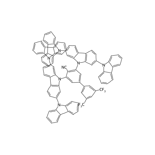 N#Cc1c(-n2c3cc(-n4c5ccccc5c5ccccc54)ccc3c3ccc(-n4c5ccccc5c5ccccc54)cc32)cc(-c2cc(C(F)(F)F)cc(C(F)(F)F)c2)cc1-n1c2cc(-n3c4ccccc4c4ccccc43)ccc2c2ccc(-n3c4ccccc4c4ccccc43)cc21